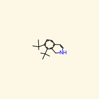 CC(C)(C)c1ccc2c(c1C(C)(C)C)CNC=C2